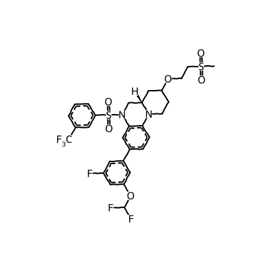 CS(=O)(=O)CCOC1CCN2c3ccc(-c4cc(F)cc(OC(F)F)c4)cc3N(S(=O)(=O)c3cccc(C(F)(F)F)c3)C[C@@H]2C1